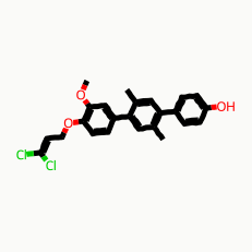 COc1cc(-c2cc(C)c(-c3ccc(O)cc3)cc2C)ccc1OCC=C(Cl)Cl